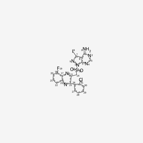 Nc1ncnc2c1c(I)nn2S(=O)(=O)Cc1nc2c(F)cccc2nc1-c1ccccc1Cl